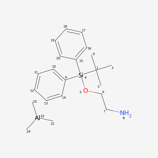 CC(C)(C)[Si](OCCN)(c1ccccc1)c1ccccc1.[CH3][Al]([CH3])[CH3]